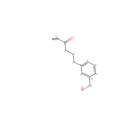 CNC(=O)CCCc1cccc(CBr)c1